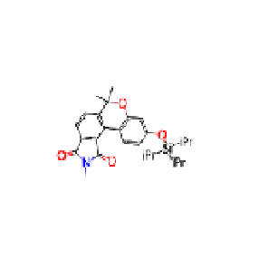 CC(C)[Si](Oc1ccc2c(c1)OC(C)(C)c1ccc3c(c1-2)C(=O)N(C)C3=O)(C(C)C)C(C)C